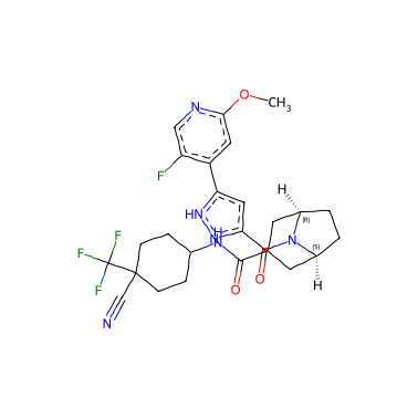 COc1cc(-c2cc(C(=O)N3[C@@H]4CC[C@H]3CC(C(=O)NC3CCC(C#N)(C(F)(F)F)CC3)C4)n[nH]2)c(F)cn1